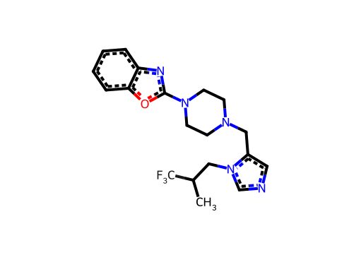 CC(Cn1cncc1CN1CCN(c2nc3ccccc3o2)CC1)C(F)(F)F